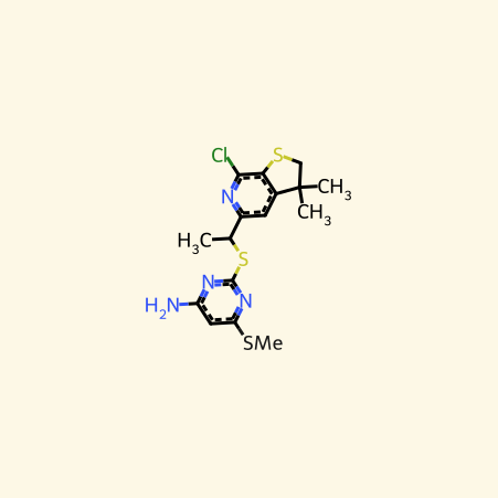 CSc1cc(N)nc(SC(C)c2cc3c(c(Cl)n2)SCC3(C)C)n1